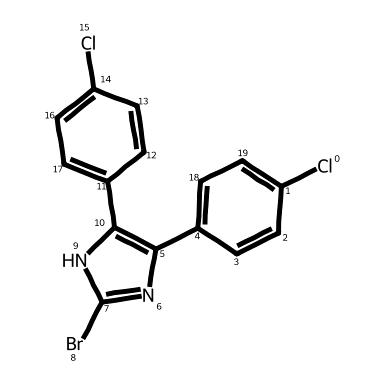 Clc1ccc(-c2nc(Br)[nH]c2-c2ccc(Cl)cc2)cc1